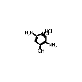 Cl.Cl.Nc1ccc(N)c(O)c1